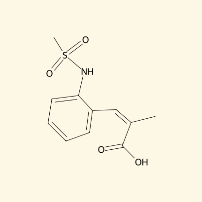 CC(=Cc1ccccc1NS(C)(=O)=O)C(=O)O